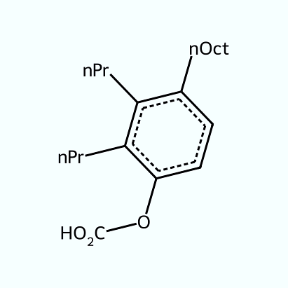 CCCCCCCCc1ccc(OC(=O)O)c(CCC)c1CCC